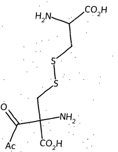 CC(=O)C(=O)C(N)(CSSCC(N)C(=O)O)C(=O)O